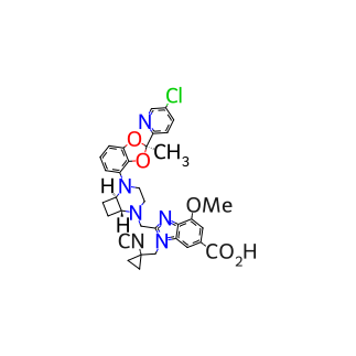 COc1cc(C(=O)O)cc2c1nc(CN1CCN(c3cccc4c3O[C@](C)(c3ccc(Cl)cn3)O4)[C@@H]3CC[C@H]31)n2CC1(C#N)CC1